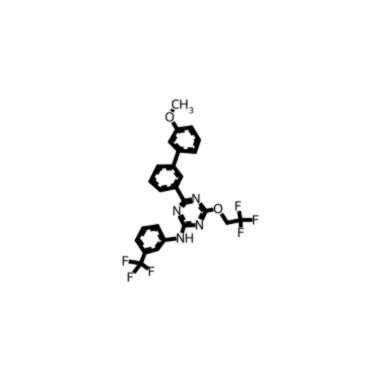 COc1cccc(-c2cccc(-c3nc(Nc4cccc(C(F)(F)F)c4)nc(OCC(F)(F)F)n3)c2)c1